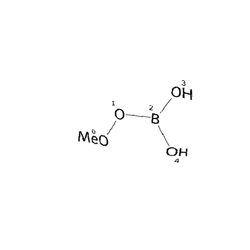 COOB(O)O